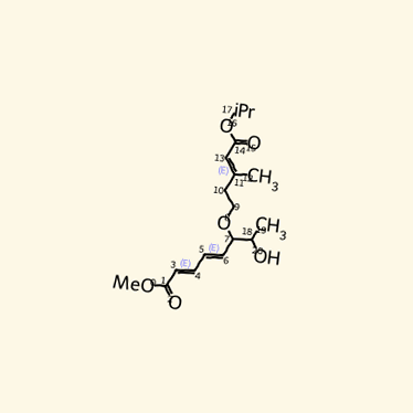 COC(=O)/C=C/C=C/C(OCC/C(C)=C/C(=O)OC(C)C)C(C)O